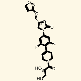 O=C([C@@H](O)CO)N1CC=C(c2c(F)cc(N3C[C@H](COc4ccon4)OC3=O)cc2F)CC1